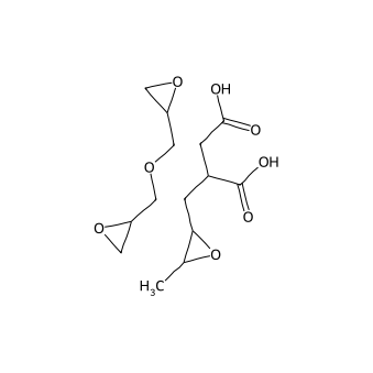 C(OCC1CO1)C1CO1.CC1OC1CC(CC(=O)O)C(=O)O